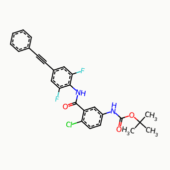 CC(C)(C)OC(=O)Nc1ccc(Cl)c(C(=O)Nc2c(F)cc(C#Cc3ccccc3)cc2F)c1